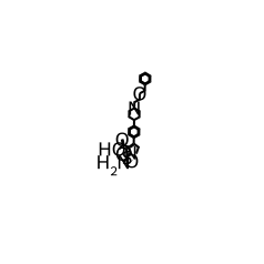 NS(=O)(=O)N1CCC(c2ccc(C3CCN(CCOCc4ccccc4)CC3)cc2)=C1C(=O)O